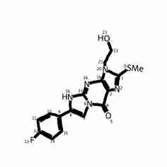 CSc1nc2c(=O)n3cc(-c4ccc(F)cc4)[nH]c3nc2n1CCO